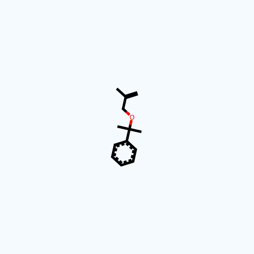 C=C(C)COC(C)(C)c1ccccc1